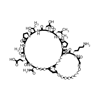 CC(C)C[C@@H]1NC(=O)[C@@H]2CCCN2C(=O)[C@@H]2CSCc3cc(cc(c3)OCCCCCCO/N=C/C(=O)N[C@@H](CCCCN)C(=O)N2)CSC[C@@H](C(N)=O)NC(=O)[C@H](CCC(=O)O)NC(=O)[C@H](C)NC(=O)[C@@H]2CCCN2C(=O)[C@H]([C@@H](C)O)NC(=O)[C@H](CC(=O)O)NC1=O